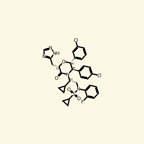 O=C1[C@H](Cc2ncn[nH]2)O[C@H](c2cccc(Cl)c2)[C@@H](c2ccc(Cl)cc2)N1[C@H](CN(c1ccccc1F)S(=O)(=O)C1CC1)C1CC1